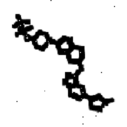 Cn1cc(-c2ccc3nnc(Sc4ccc5ncc(N6CCC(O[Si](C)(C)C(C)(C)C)CC6)cc5c4)n3c2)cn1